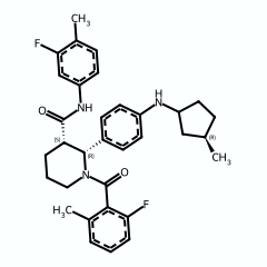 Cc1ccc(NC(=O)[C@H]2CCCN(C(=O)c3c(C)cccc3F)[C@H]2c2ccc(NC3CC[C@@H](C)C3)cc2)cc1F